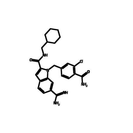 N=C(N)c1ccc2cc(C(=O)NCC3CCCCC3)n(Cc3ccc(C(N)=O)c(Cl)c3)c2c1